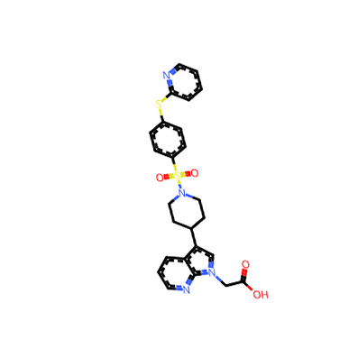 O=C(O)Cn1cc(C2CCN(S(=O)(=O)c3ccc(Sc4ccccn4)cc3)CC2)c2cccnc21